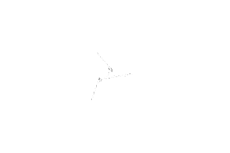 CCCCCCCCCCCCS(=O)(=O)NCCCN(CCCNCCCCNCCCN)CCCNS(=O)(=O)CCCCCCCCCCCC